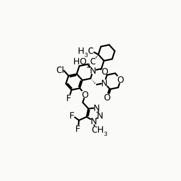 Cn1nnc(COc2c(F)cc(Cl)c3c2[C@@H](CN2CCOCC2=O)N(C(=O)C2CCCC[C@@]2(C)C(=O)O)CC3)c1C(F)F